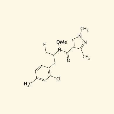 CON(C(=O)c1cn(C)nc1C(F)(F)F)C(CF)Cc1ccc(C)cc1Cl